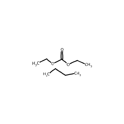 CCCC.CCOC(=O)OCC